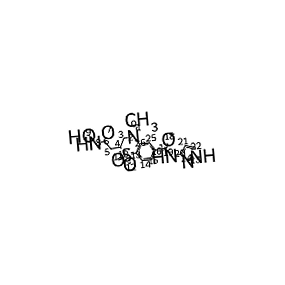 CCN1CC(CC(=O)NO)S(=O)(=O)c2ccc(C(=O)Nc3cc[nH]n3)cc21